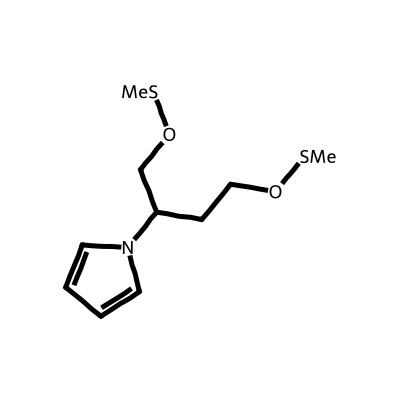 CSOCCC(COSC)n1cccc1